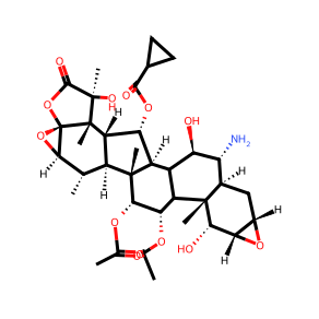 CC(=O)O[C@H]1C2C([C@@H](O)[C@H](N)[C@H]3C[C@@H]4O[C@@H]4[C@H](O)[C@]23C)[C@@H]2[C@@H](OC(=O)C3CC3)[C@@H]3[C@H]([C@H](C)[C@H]4O[C@]45OC(=O)[C@@](C)(O)[C@]35C)[C@@]2(C)[C@H]1OC(C)=O